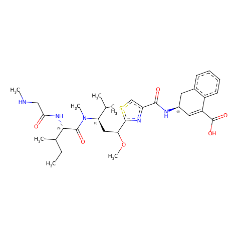 CCC(C)[C@H](NC(=O)CNC)C(=O)N(C)[C@H](CC(OC)c1nc(C(=O)N[C@@H]2C=C(C(=O)O)c3ccccc3C2)cs1)C(C)C